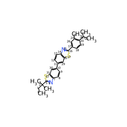 CCC(C)(C)c1nc2ccc(-c3ccc4nc(-c5ccc(C(C)C)c(C)c5)sc4c3)cc2s1